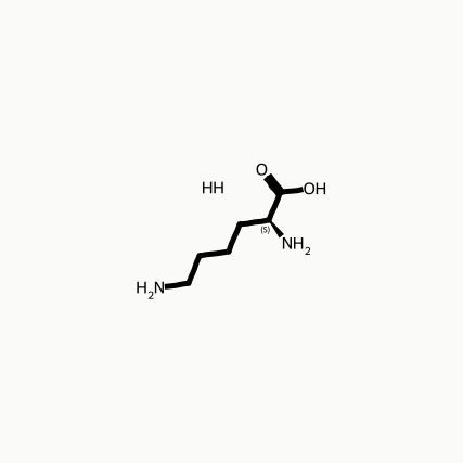 NCCCC[C@H](N)C(=O)O.[HH]